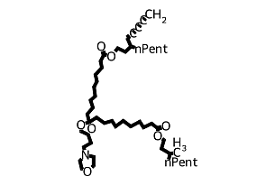 C=C=C=C=CC(CCCCC)CCOC(=O)CCCCCCCCCC1(CCCCCCCCCC(=O)OCCC(C)CCCCC)OCC(CCN2CCOCC2)O1